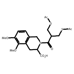 COc1ccc2c(c1OC)CC(C(=O)O)N(C(=O)C(CSC(C)=O)CSC(C)=O)C2